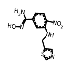 NC(=NO)c1ccc([N+](=O)[O-])c(NCc2cncs2)c1